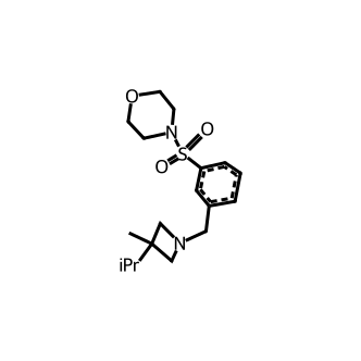 CC(C)C1(C)CN(Cc2cccc(S(=O)(=O)N3CCOCC3)c2)C1